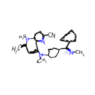 C=C1C=C(N(C)C2CCC(/C(=N/C)c3ccccc3)CC2)c2nc(C#N)ccc2N1C